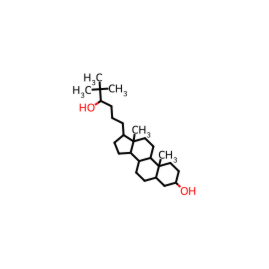 CC(C)(C)C(O)CCCC1CCC2C3CCC4CC(O)CCC4(C)C3CCC12C